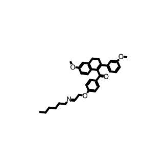 CCCCCCN=CCOc1ccc(C(=O)C2=C(c3cccc(OC)c3)CCc3cc(OC)ccc32)cc1